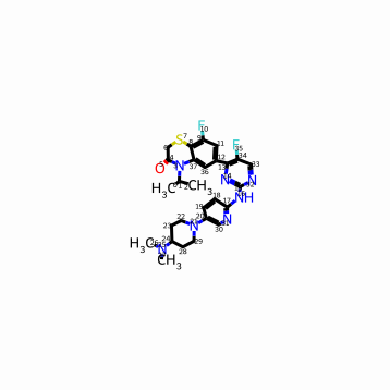 CC(C)N1C(=O)CSc2c(F)cc(-c3nc(Nc4ccc(N5CCC(N(C)C)CC5)cn4)ncc3F)cc21